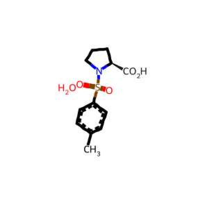 Cc1ccc(S(=O)(=O)N2CCC[C@H]2C(=O)O)cc1.O